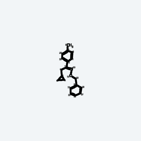 Cc1ccc(C(CC2CC2)=NOCc2ccccc2)cc1